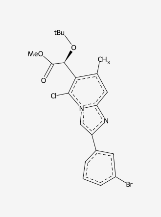 COC(=O)[C@@H](OC(C)(C)C)c1c(C)cc2nc(-c3cccc(Br)c3)cn2c1Cl